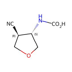 N#C[C@@H]1COC[C@H]1NC(=O)O